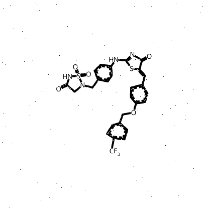 O=C1CN(Cc2ccc(NC3=NC(=O)C(=Cc4ccc(OCc5ccc(C(F)(F)F)cc5)cc4)S3)cc2)S(=O)(=O)N1